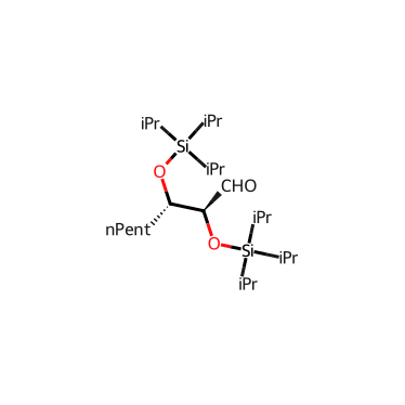 CCCCC[C@H](O[Si](C(C)C)(C(C)C)C(C)C)[C@@H](C=O)O[Si](C(C)C)(C(C)C)C(C)C